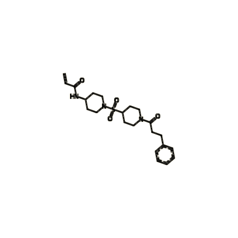 C=CC(=O)NC1CCN(S(=O)(=O)C2CCN(C(=O)CCc3ccccc3)CC2)CC1